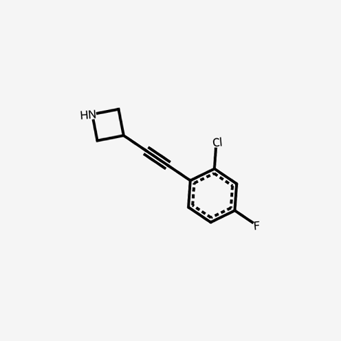 Fc1ccc(C#CC2CNC2)c(Cl)c1